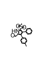 Cc1ccc(-c2c(C=O)[nH]c(S(C)(=O)=O)c2-c2ccccc2)cc1